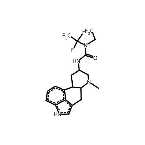 CN1CC(NC(=O)N(CC(F)(F)F)C(F)(F)C(F)(F)F)CC2c3cccc4[nH]cc(c34)CC21